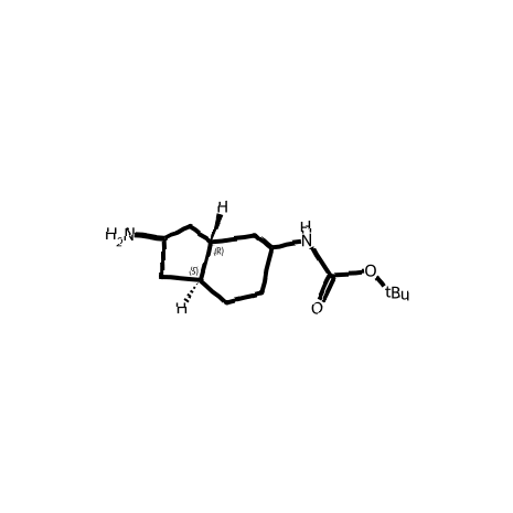 CC(C)(C)OC(=O)NC1CC[C@H]2CC(N)C[C@@H]2C1